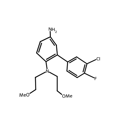 COCCN(CCOC)c1ccc(N)cc1-c1ccc(F)c(Cl)c1